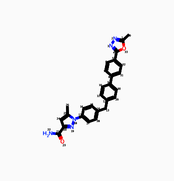 Cc1nnc(-c2ccc(-c3ccc(Cc4ccc(-n5nc(C(N)=O)cc5C)cc4)cc3)cc2)o1